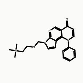 C[Si](C)(C)CCOCn1ccc2c1ncc1c(=O)ccn(-c3ccccc3)c12